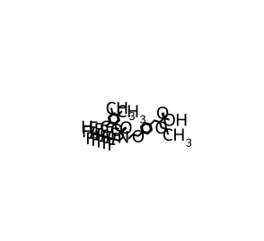 CCOC(Cc1ccc(OCCN(CC(F)(F)C(F)(F)C(F)(F)C(F)(F)C(F)(F)F)C(=O)Oc2cc(C)c(C)cc2C)cc1)C(=O)O